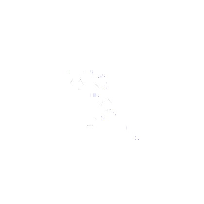 C=CC(=O)Nc1cc(Nc2cc(N3OCC[C@@H]3c3cccc(F)c3Cl)ncn2)c(OC)cc1N1CCC(N2CCN(C)CC2)CC1